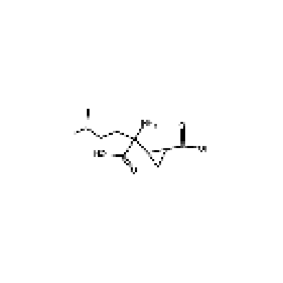 CC(C)CCC(N)(C(=O)O)C1CC1C(=O)O